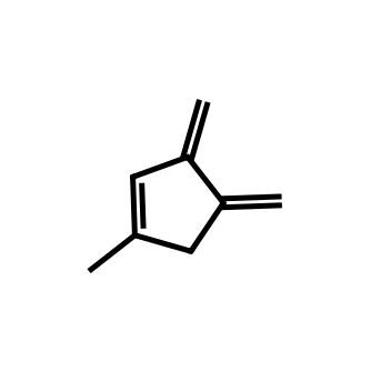 C=C1C=C(C)CC1=C